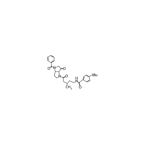 CC(CCNC(=O)c1ccc(C(C)(C)C)cc1)CC(=O)N1CCC2C1C(=O)CN2C(=O)c1ccccc1